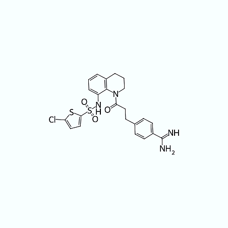 N=C(N)c1ccc(CCC(=O)N2CCCc3cccc(NS(=O)(=O)c4ccc(Cl)s4)c32)cc1